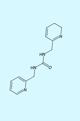 O=C(NCC1=NCCC=C1)NCc1ccccn1